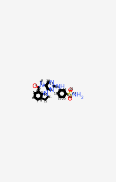 CN1C(=O)c2cccc3c2N(CC3)c2nc(Nc3cccc(S(N)(=O)=O)c3)ncc21